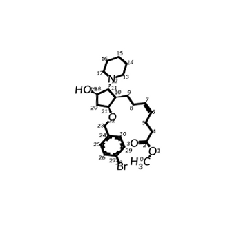 COC(=O)CC/C=C\CC[C@@H]1[C@@H](N2CCCCC2)[C@H](O)C[C@@H]1OCc1ccc(Br)cc1